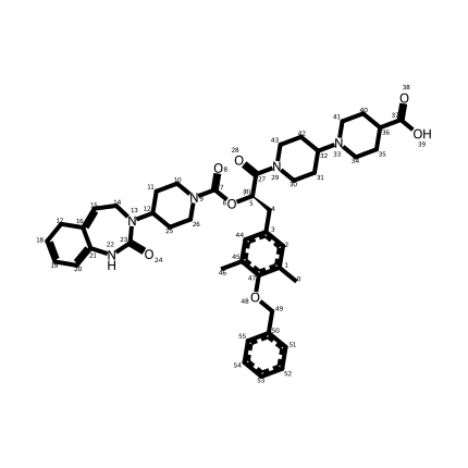 Cc1cc(C[C@@H](OC(=O)N2CCC(N3CC=C4CC=CC=C4NC3=O)CC2)C(=O)N2CCC(N3CCC(C(=O)O)CC3)CC2)cc(C)c1OCc1ccccc1